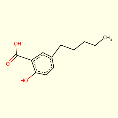 CCCCCc1ccc(O)c(C(=O)O)c1